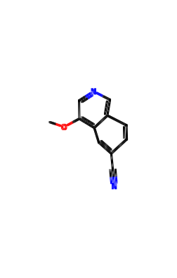 COc1cncc2ccc(C#N)cc12